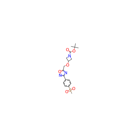 CC(C)(C)OC(=O)N1CC(OCc2nc(-c3ccc(S(C)(=O)=O)cc3)no2)C1